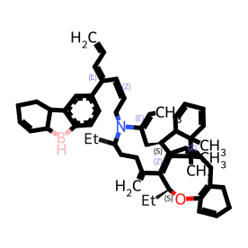 C=C/C=C(\C=C/CN(/C(=C/C)C[C@@H]1CC(C)(C)C2(C)C=CC=CC12)C(CC)CCC(=C)/C1=C/C=C\CC2=C(C=CCC2)O[C@H]1CC)c1ccc2c(c1)C1CCC=CC1B2